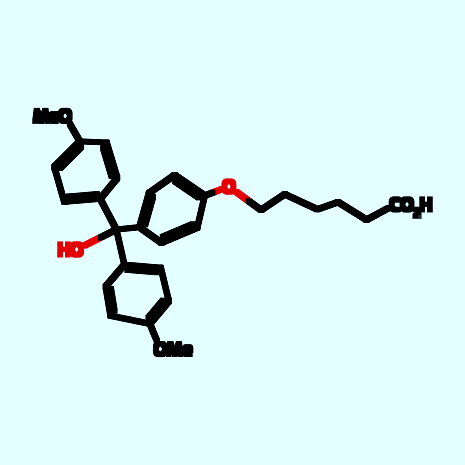 COc1ccc(C(O)(c2ccc(OC)cc2)c2ccc(OCCCCCC(=O)O)cc2)cc1